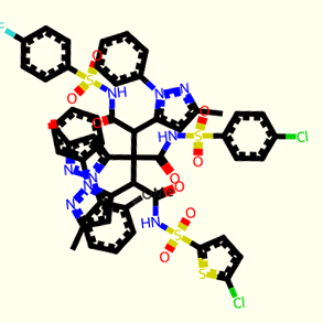 COc1ccccc1-n1nc(C)cc1C(C(=O)NS(=O)(=O)c1ccc(Cl)cc1)(C(C(=O)NS(=O)(=O)c1ccc(F)cc1)c1cc(C)nn1-c1ccccc1)C(C(=O)NS(=O)(=O)c1ccc(Cl)s1)c1cc(C)nn1-c1ccccc1